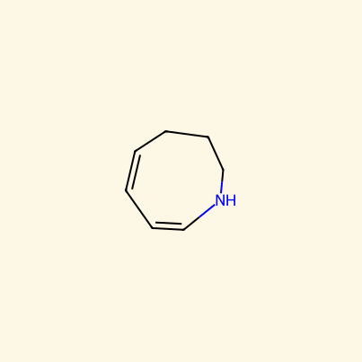 C1=C\CCCN\C=C/1